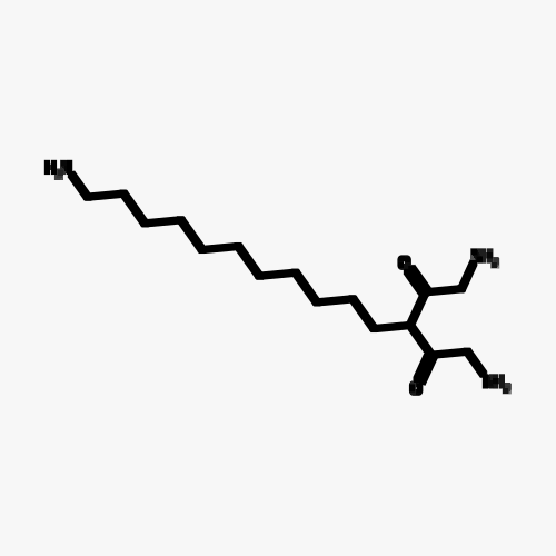 NCCCCCCCCCCCC(C(=O)CN)C(=O)CN